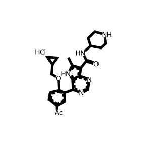 CC(=O)c1ccc(OCC2CC2)c(-c2ncnc3c(C(=O)NC4CCNCC4)c(C)[nH]c23)c1.Cl